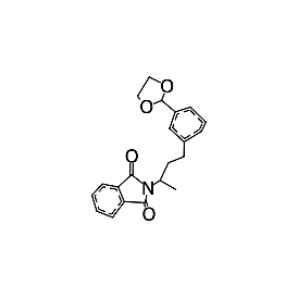 CC(CCc1cccc(C2OCCO2)c1)N1C(=O)c2ccccc2C1=O